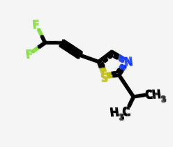 CC(C)c1ncc(C#CC(F)F)s1